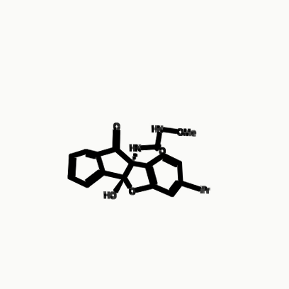 CONC(=O)N[C@@]12C(=O)c3ccccc3[C@@]1(O)Oc1cc(C(C)C)ccc12